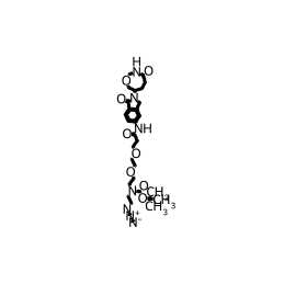 CC(C)(C)OC(=O)N(CCN=[N+]=[N-])CCOCCOCCC(=O)Nc1ccc2c(c1)CN(C1CCC(=O)NCOC1)C2=O